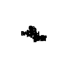 O=[N+]([O-])c1cc(Br)ccc1Nc1cccc(-n2ccnc2)n1